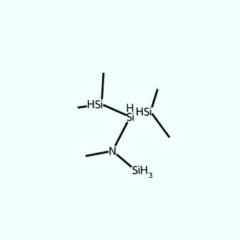 CN([SiH3])[SiH]([SiH](C)C)[SiH](C)C